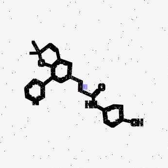 CC1(C)C=Cc2cc(/C=C/C(=O)Nc3ccc(O)cc3)cc(-c3cccnc3)c2O1